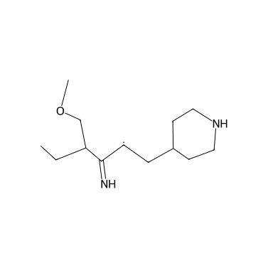 CCC(COC)C(=N)[CH]CC1CCNCC1